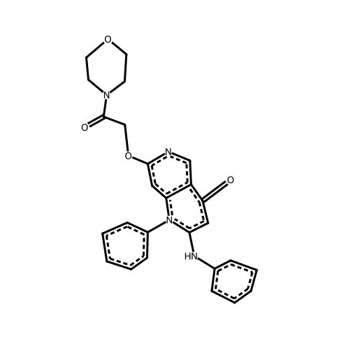 O=C(COc1cc2c(cn1)c(=O)cc(Nc1ccccc1)n2-c1ccccc1)N1CCOCC1